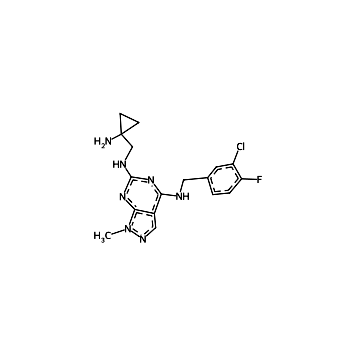 Cn1ncc2c(NCc3ccc(F)c(Cl)c3)nc(NCC3(N)CC3)nc21